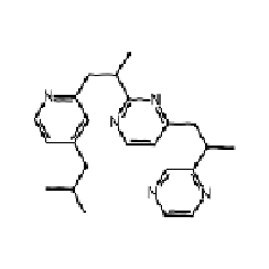 CC(C)Cc1ccnc(CC(C)c2nccc(CC(C)c3cnccn3)n2)c1